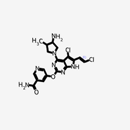 CC1CN(c2nc(Oc3cncc(C(N)=O)c3)nc3[nH]c(/C=C/Cl)c(Cl)c23)CC1N